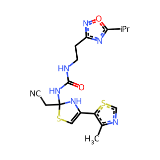 Cc1ncsc1C1=CSC(CC#N)(NC(=O)NCCc2noc(C(C)C)n2)N1